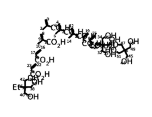 C=C(C)C(=O)O.C=C(C)C(=O)O.C=C(C)C(=O)O.C=C(C)C(=O)O.C=CC(=O)O.C=CC(=O)O.C=CC(=O)O.C=CC(=O)O.CCC(CO)(CO)CO.CCC(CO)(CO)CO.OCC(CO)(CO)CO